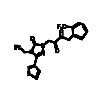 CC(C)Cn1c(-c2ccsc2)nn(CC(=O)NCc2ccccc2C(F)(F)F)c1=O